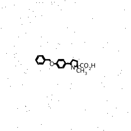 C[C@]1(C(=O)O)CCC(c2ccc(OCc3ccccc3)cc2)=N1